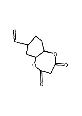 C=CC1CCC2OC(=O)CC(=O)OC2C1